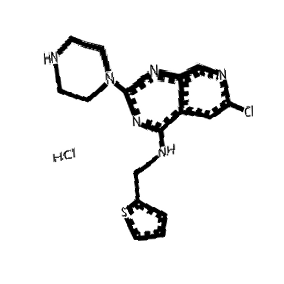 Cl.Clc1cc2c(NCc3cccs3)nc(N3CCNCC3)nc2cn1